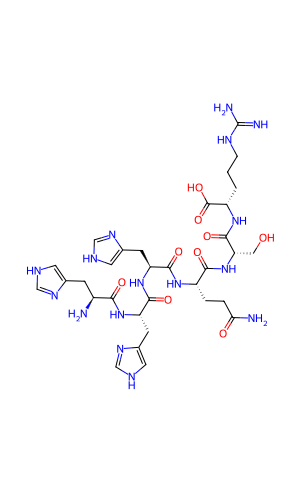 N=C(N)NCCC[C@H](NC(=O)[C@H](CO)NC(=O)[C@H](CCC(N)=O)NC(=O)[C@H](Cc1c[nH]cn1)NC(=O)[C@H](Cc1c[nH]cn1)NC(=O)[C@@H](N)Cc1c[nH]cn1)C(=O)O